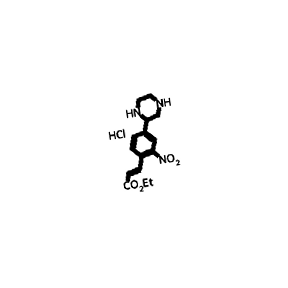 CCOC(=O)C=Cc1ccc(C2CNCCN2)cc1[N+](=O)[O-].Cl